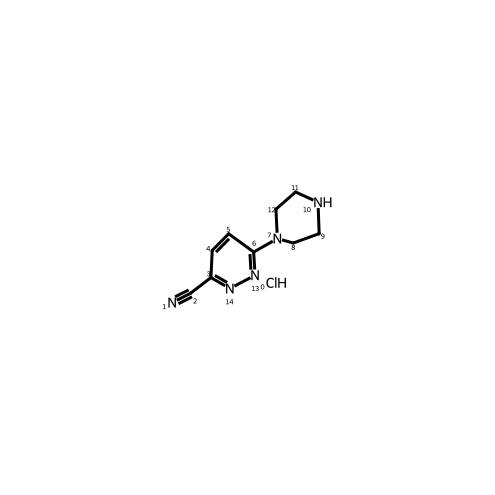 Cl.N#Cc1ccc(N2CCNCC2)nn1